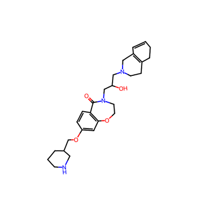 O=C1c2ccc(OCC3CCCNC3)cc2OCCN1CC(O)CN1CCC2=C(C=CCC2)C1